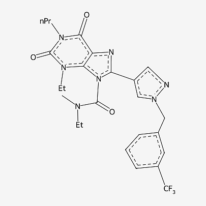 CCCn1c(=O)c2nc(-c3cnn(Cc4cccc(C(F)(F)F)c4)c3)n(C(=O)N(C)CC)c2n(CC)c1=O